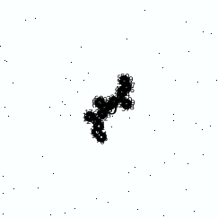 C1=CC2c3ccccc3C=CC2C=C1N(c1ccccc1)c1ccc2c(c1)c1c(c3c4ccc(N(c5ccccc5)c5ccc6c(ccc7ccccc76)c5)cc4oc23)=CCCC=1